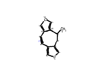 CC1Cc2cocc2/C=C\c2cocc21